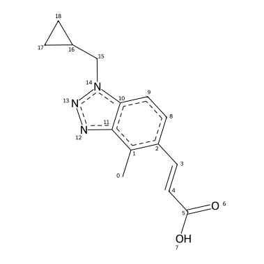 Cc1c(C=CC(=O)O)ccc2c1nnn2CC1CC1